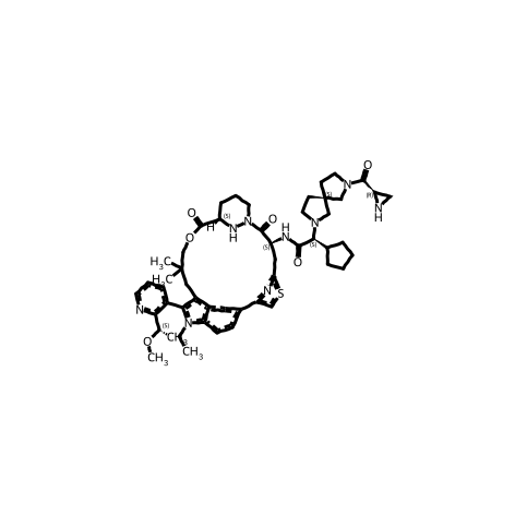 CCn1c(-c2cccnc2[C@H](C)OC)c2c3cc(ccc31)-c1csc(n1)C[C@H](NC(=O)[C@H](C1CCCC1)N1CC[C@]3(CCN(C(=O)[C@H]4CN4)C3)C1)C(=O)N1CCC[C@H](N1)C(=O)OCC(C)(C)C2